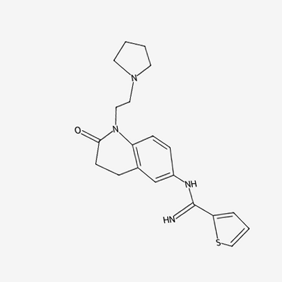 N=C(Nc1ccc2c(c1)CCC(=O)N2CCN1CCCC1)c1cccs1